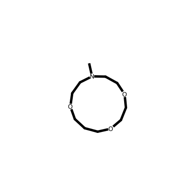 CN1CCOCCCOCCOCC1